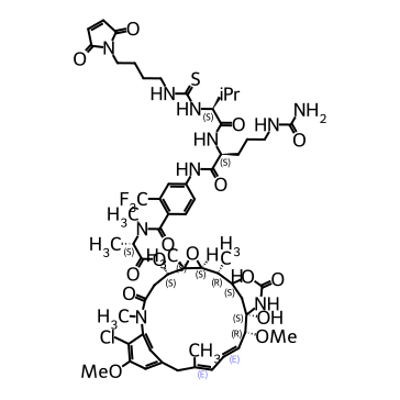 COc1cc2cc(c1Cl)N(C)C(=O)C[C@H](OC(=O)[C@H](C)N(C)C(=O)c1ccc(NC(=O)[C@H](CCCNC(N)=O)NC(=O)[C@@H](NC(=S)NCCCCN3C(=O)C=CC3=O)C(C)C)cc1C(F)(F)F)[C@]1(C)O[C@H]1[C@H](C)[C@@H]1C[C@@](O)(NC(=O)O1)[C@H](OC)/C=C/C=C(\C)C2